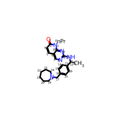 CCCn1c(=O)ccc2cnc(N[C@@H](C)c3ccc(CN4CCCCCC4)cc3)nc21